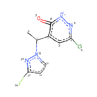 CC(c1cc(Cl)n[nH]c1=O)n1ccc(F)n1